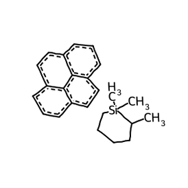 CC1CCCC[Si]1(C)C.c1cc2ccc3cccc4ccc(c1)c2c34